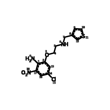 Nc1c(OCCNCc2ccsc2)cc(Cl)cc1[N+](=O)[O-]